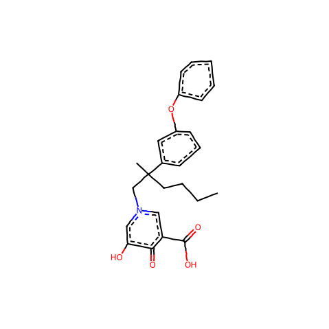 CCCCC(C)(Cn1cc(O)c(=O)c(C(=O)O)c1)c1cccc(Oc2ccccc2)c1